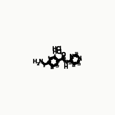 Cl.Cl.NCc1ccc(C(=O)Nc2ccncn2)cc1